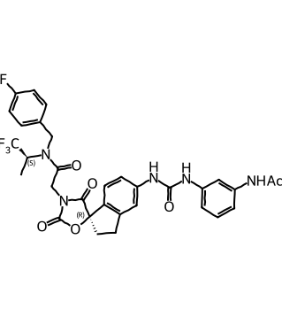 CC(=O)Nc1cccc(NC(=O)Nc2ccc3c(c2)CC[C@@]32OC(=O)N(CC(=O)N(Cc3ccc(F)cc3)[C@@H](C)C(F)(F)F)C2=O)c1